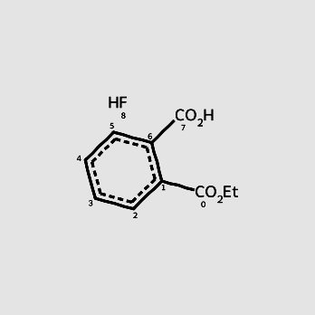 CCOC(=O)c1ccccc1C(=O)O.F